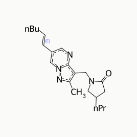 CCCC/C=C/c1cnc2c(CN3CC(CCC)CC3=O)c(C)nn2c1